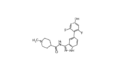 CN1CCC(C(=O)Nc2n[nH]c3ccc(-c4c(F)cc(O)cc4F)cc23)CC1